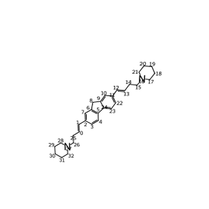 C(=C\c1ccc2c(c1)Cc1cc(/C=C/CCN3CCCCC3)ccc1-2)/CCN1CCCCC1